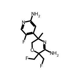 CC1(c2cc(N)ncc2F)COC(CF)(CF)C(N)=N1